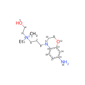 CC[N+](C)(CCO)CCCN1CCOc2cc(N)ccc21